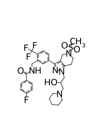 CS(=O)(=O)N1CCc2c(c(-c3ccc(C(F)(F)F)c(CNC(=O)c4ccc(F)cc4)c3)nn2CC(O)CN2CCCCC2)C1